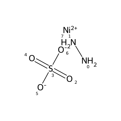 NN.O=S(=O)([O-])[O-].[Ni+2]